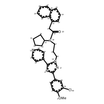 COc1ccc(-c2nc(-c3ccncc3)n(CCCN(C(=O)Cc3cccc4ccccc34)C3CCCC3)n2)cc1Cl